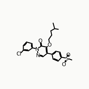 CC(C)CCCOc1c(-c2ccc(S(C)(=O)=O)cc2)cnn(-c2cccc(Cl)c2)c1=O